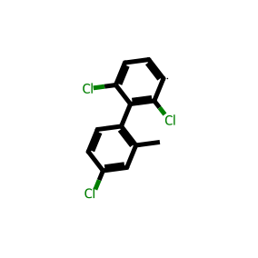 Cc1cc(Cl)ccc1-c1c(Cl)[c]ccc1Cl